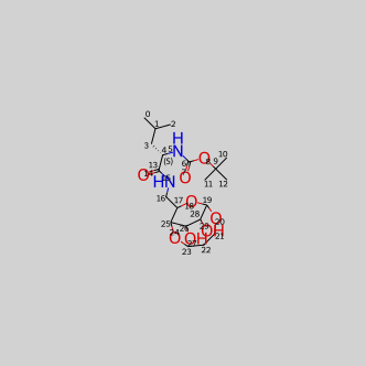 CC(C)C[C@H](NC(=O)OC(C)(C)C)C(=O)NCC1OC2OCCCOC1C(O)C2O